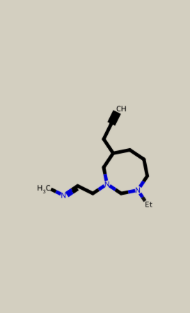 C#CCC1CCCN(CC)CN(CC=NC)C1